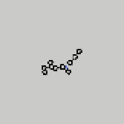 C1=CC(c2ccc(-n3c4ccccc4c4cc(-c5ccc6c(c5)-c5ccccc5C(c5cccc7ccccc57)C6)ccc43)cc2)CC=C1c1ccccc1